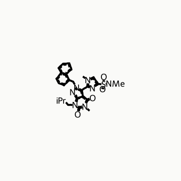 CNS(=O)(=O)c1cn(C)c(-c2c3c(=O)n(C)c(=O)n(CC(C)C)c3nn2Cc2cccc3ccccc23)n1